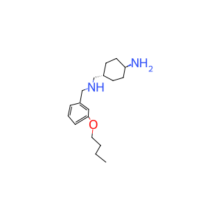 CCCCOc1cccc(CNC[C@H]2CC[C@H](N)CC2)c1